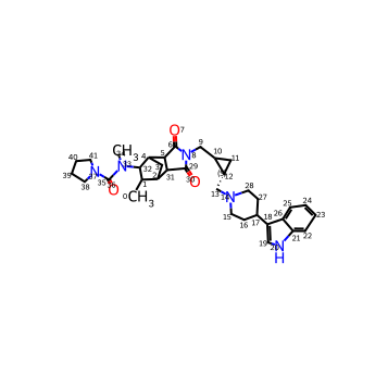 CC1C2CC(C3C(=O)N(CC4C[C@@H]4CN4CCC(c5c[nH]c6ccccc56)CC4)C(=O)C23)C1N(C)C(=O)N1CCCC1